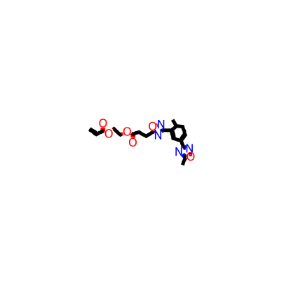 C=CC(=O)OCCOC(=O)CCc1nc(C2=CC(c3noc(C)n3)=CCC2C)no1